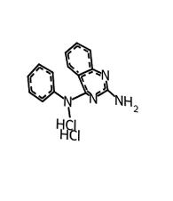 CN(c1ccccc1)c1nc(N)nc2ccccc12.Cl.Cl